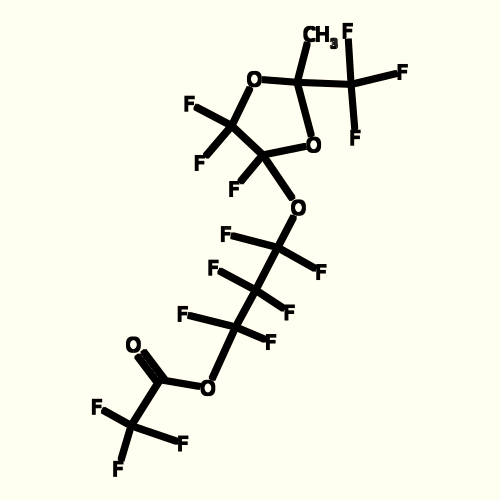 CC1(C(F)(F)F)OC(F)(F)C(F)(OC(F)(F)C(F)(F)C(F)(F)OC(=O)C(F)(F)F)O1